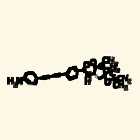 COC(=O)[C@H](CC(=O)OC(C)(C)C)NC(=O)c1ccc(C#CC#Cc2ccc(N)cc2)cc1